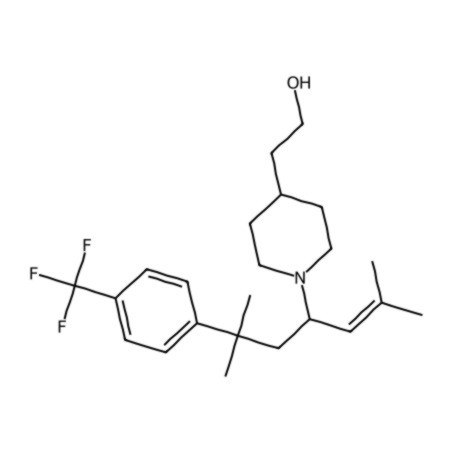 CC(C)=CC(CC(C)(C)c1ccc(C(F)(F)F)cc1)N1CCC(CCO)CC1